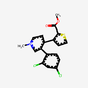 COC(=O)c1sccc1-c1cc[n+](C)cc1-c1ccc(Cl)cc1Cl